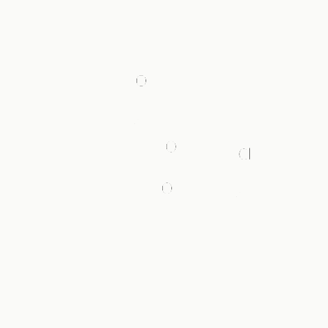 C=C(Cl)COc1ccccc1CC(=O)OC